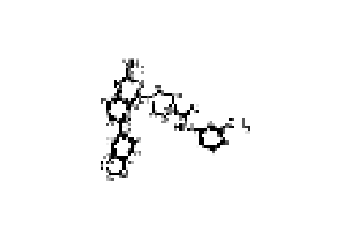 Cc1cccc(NC(=O)N2CCN(c3nc(N)nc4ccc(-c5ccc6c(c5)OCO6)nc34)CC2)c1